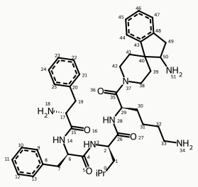 CC(C)C[C@@H](NC(=O)[C@@H](Cc1ccccc1)NC(=O)[C@H](N)Cc1ccccc1)C(=O)N[C@H](CCCCN)C(=O)N1CCC2(CC1)c1ccccc1CC2N